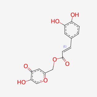 O=C(/C=C/c1ccc(O)c(O)c1)OCc1cc(=O)c(O)co1